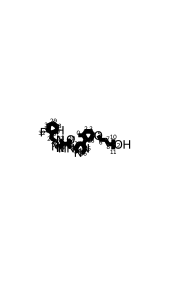 Cc1ccc(OCCCC(C)(C)O)cc1-c1cc(NC(=O)c2nnc(Cc3ccccc3F)[nH]2)ncn1